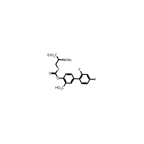 CCOC(=O)C(CSC(=O)Oc1ccc(-c2ccc(F)cc2F)cc1C(=O)O)NC(C)=O